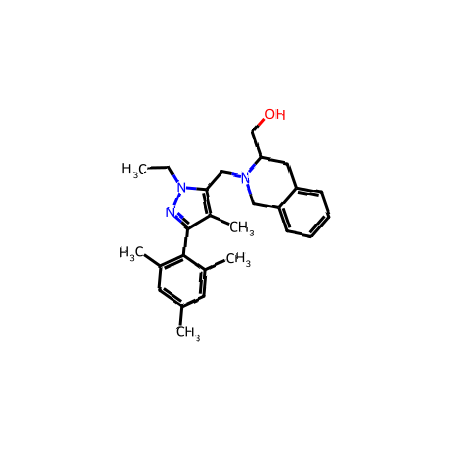 CCn1nc(-c2c(C)cc(C)cc2C)c(C)c1CN1Cc2ccccc2CC1CO